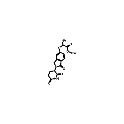 CCCC(Oc1ccc2c(c1)CN(C1CCC(=O)NC1=O)C2=O)C(=O)OC(C)(C)C